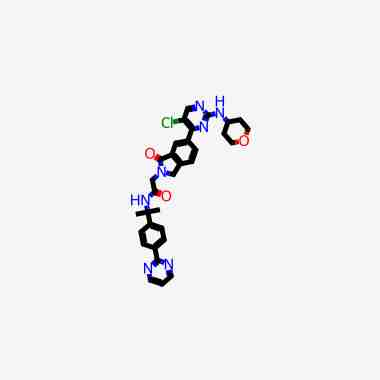 CC(C)(NC(=O)CN1Cc2ccc(-c3nc(NC4CCOCC4)ncc3Cl)cc2C1=O)c1ccc(-c2ncccn2)cc1